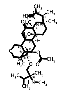 CN[C@@](C)(CO[C@H]1[C@H](OC(C)=O)C[C@@]23COC[C@]1(C)[C@@H]2CC[C@H]1C3=CC(=O)[C@@]2(C)[C@H](C(=O)O)[C@@](C)([C@H](C)C(C)C)CC[C@]12C)C(C)C